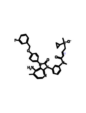 CC1=C=CN=c2c(n(-c3ccc(OCc4cccc(F)c4)cc3)c(=O)n2-c2cccc(N(C)C(=O)/C=C/C[N+](C)([O-])C3CC3)c2)=C1N